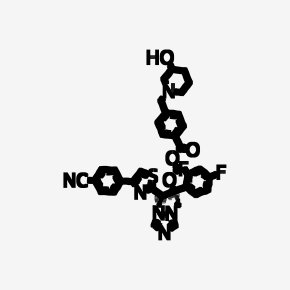 C[C@@H](c1nc(-c2ccc(C#N)cc2)cs1)[C@@](Cn1cncn1)(OCOC(=O)c1ccc(CN2CCCC(O)C2)cc1)c1ccc(F)cc1F